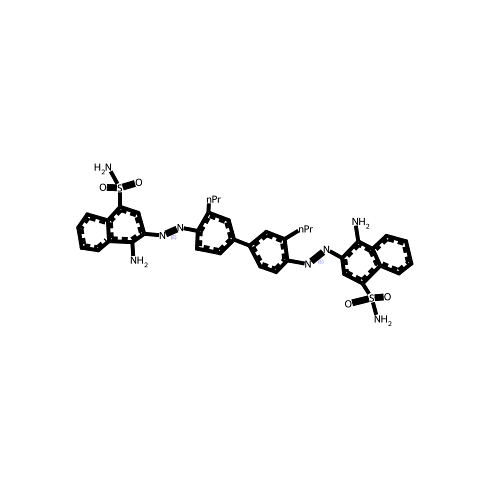 CCCc1cc(-c2ccc(/N=N/c3cc(S(N)(=O)=O)c4ccccc4c3N)c(CCC)c2)ccc1/N=N/c1cc(S(N)(=O)=O)c2ccccc2c1N